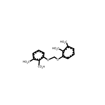 O=C(O)c1cccc(OCOc2cccc(C(=O)O)c2C(=O)O)c1C(=O)O